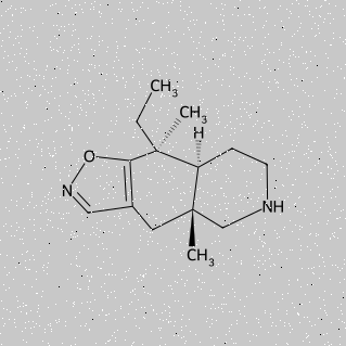 CC[C@]1(C)c2oncc2C[C@@]2(C)CNCC[C@@H]21